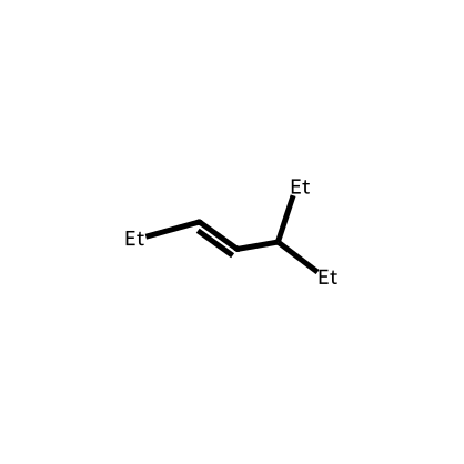 CCC=CC(CC)CC